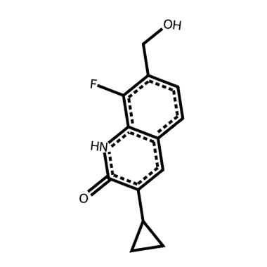 O=c1[nH]c2c(F)c(CO)ccc2cc1C1CC1